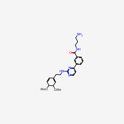 COC1C=CC(CCNc2nccc(-c3cccc(C(=O)NCCCN)c3)n2)=CC1OC